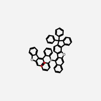 c1ccc(N(c2ccccc2-c2cccc3oc4ccccc4c23)c2c3ccccc3cc3oc4c5c(ccc4c23)C(c2ccccc2)(c2ccccc2)c2ccccc2-5)cc1